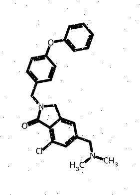 CN(C)Cc1cc(Cl)c2c(c1)CN(Cc1ccc(Oc3ccccc3)cc1)C2=O